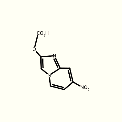 O=C(O)Oc1cn2ccc([N+](=O)[O-])cc2n1